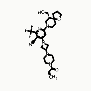 C=CC(=O)N1CCN(C2CN(c3cc(N4CCC5(CCCO5)[C@H](CO)C4)nc(C(F)(F)F)c3C#N)C2)CC1